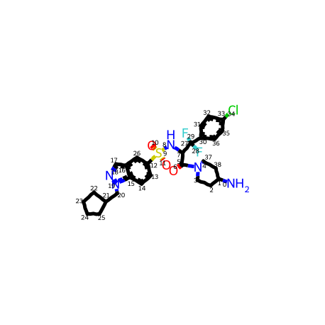 NC1CCN(C(=O)C(NS(=O)(=O)c2ccc3c(cnn3CC3CCCC3)c2)C(F)(F)c2ccc(Cl)cc2)CC1